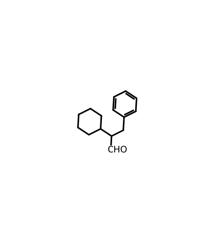 O=CC(Cc1ccccc1)C1CCCCC1